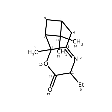 CCC1N=C2CC3CC(C2(C)OC1=O)C3(C)C